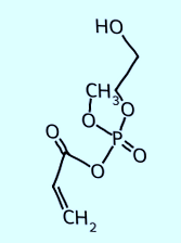 C=CC(=O)OP(=O)(OC)OCCO